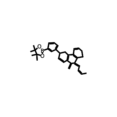 C=c1c2c(c3c(/c1=C/C=C\C)CCC=C3)CC(c1cccc(B3OC(C)(C)C(C)(C)O3)c1)C=C2